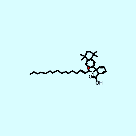 CCCCCCCCCCCCCC=CC(=O)NC1(c2ccc3c(c2)C(C)(C)CCC3(C)C)C=CC=CC1C(=O)O